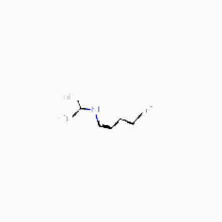 CCCCCCCCCC/C=C\NC(CCC)CCCC